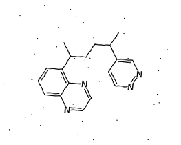 CC(CCC(C)c1cccc2nccnc12)c1ccnnc1